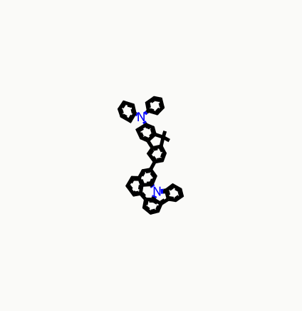 CC1(C)c2ccc(-c3cc4cccc5c6cccc7c8ccccc8n(c(c3)c45)c67)cc2-c2ccc(N(c3ccccc3)c3ccccc3)cc21